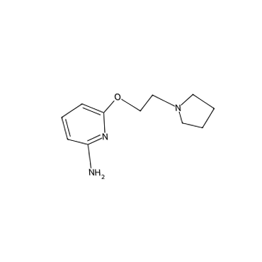 Nc1cccc(OCCN2CCCC2)n1